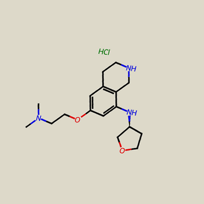 CN(C)CCOc1cc2c(c(N[C@H]3CCOC3)c1)CNCC2.Cl